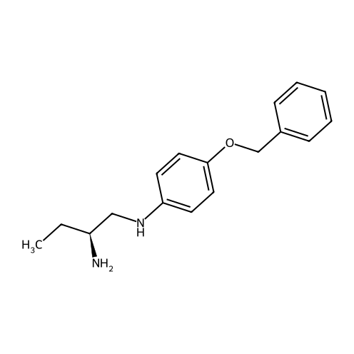 CC[C@H](N)CNc1ccc(OCc2ccccc2)cc1